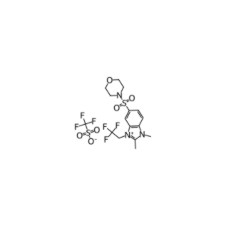 Cc1n(C)c2ccc(S(=O)(=O)N3CCOCC3)cc2[n+]1CC(F)(F)F.O=S(=O)([O-])C(F)(F)F